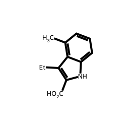 CCc1c(C(=O)O)[nH]c2cccc(C)c12